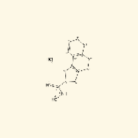 Cl.N=C(NO)C1CC2=C(C1)C1=C(CCC=C1)CC2